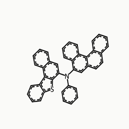 c1ccc(N(c2cc3ccc4ccccc4c3c3ccccc23)c2cc3ccccc3c3c2sc2ccccc23)cc1